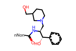 CCCCCCCCCC(=O)N[C@@H](CN1CCCC(CO)C1)[C@@H](O)c1ccccc1